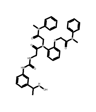 CC(NO)c1cccc(NC(=O)NCC(=O)N(CC(=O)N(C)c2ccccc2)c2ccccc2OCC(=O)N(C)c2ccccc2)c1